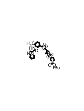 Cc1ccc(-c2noc(C3CN(S(=O)(=O)C4CCN(C(=O)OC(C)(C)C)C4)C3)n2)cc1NC(=O)c1cnc2ccccn12